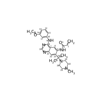 C=CC(=O)Nc1cc2c(Nc3cccc(OC)c3)ncnc2cc1C(C)(C)N1CCN(C)CC1